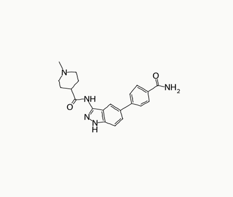 CN1CCC(C(=O)Nc2n[nH]c3ccc(-c4ccc(C(N)=O)cc4)cc23)CC1